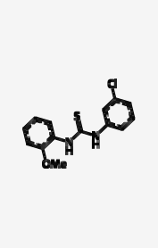 COc1ccccc1NC(=S)Nc1cccc(Cl)c1